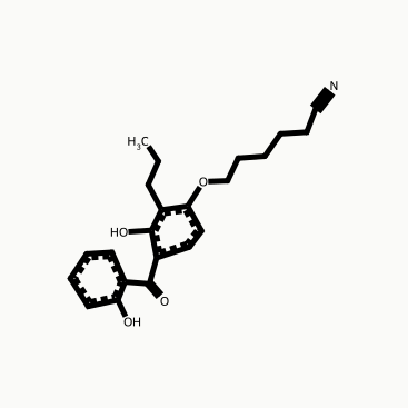 CCCc1c(OCCCCCC#N)ccc(C(=O)c2ccccc2O)c1O